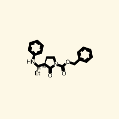 CC[C@H](Nc1ccccc1)[C@H]1CCN(C(=O)OCc2ccccc2)C1=O